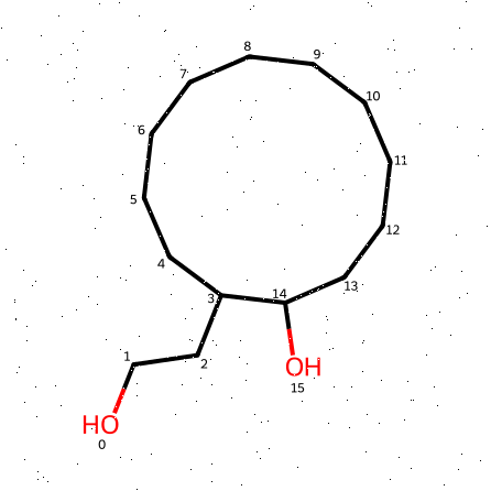 OCCC1CCCCCCCCCCC1O